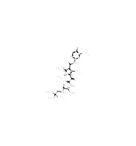 Cc1cc(NC(=O)c2c(C)c(C(=O)C(=O)NC(C(=O)NCC(C)(C)O)C(C)(C)C)n(C)c2C)ccc1F